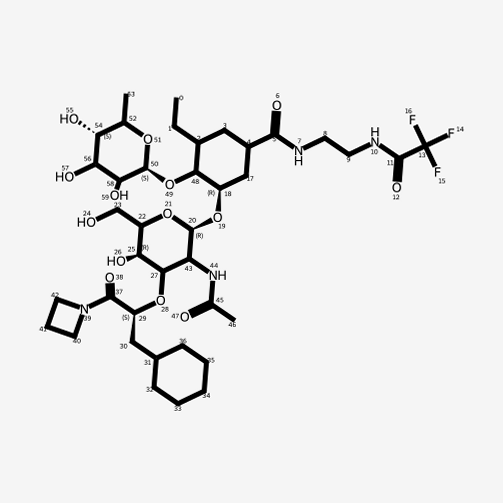 CCC1CC(C(=O)NCCNC(=O)C(F)(F)F)C[C@@H](O[C@@H]2OC(CO)[C@H](O)C(O[C@@H](CC3CCCCC3)C(=O)N3CCC3)C2NC(C)=O)C1O[C@@H]1OC(C)[C@@H](O)C(O)C1O